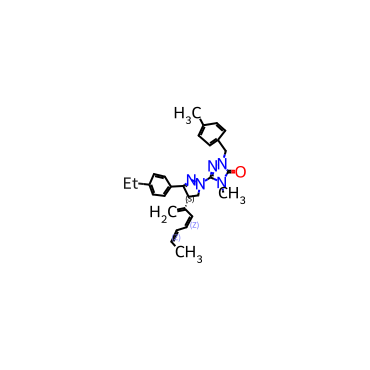 C=C(/C=C\C=C/C)[C@H]1CN(c2nn(Cc3ccc(C)cc3)c(=O)n2C)N=C1c1ccc(CC)cc1